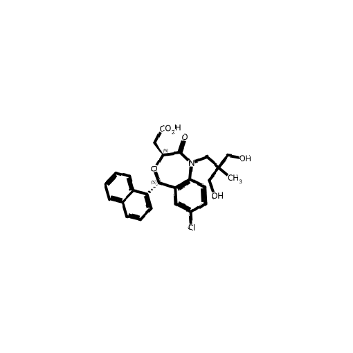 CC(CO)(CO)CN1C(=O)[C@H](CC(=O)O)O[C@@H](c2cccc3ccccc23)c2cc(Cl)ccc21